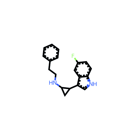 Fc1ccc2[nH]cc(C3CC3NCCc3ccccc3)c2c1